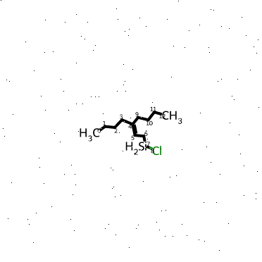 CCCCC(=CC[SiH2]Cl)CCCC